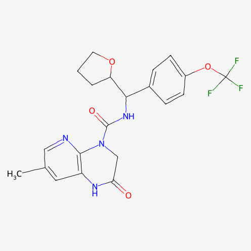 Cc1cnc2c(c1)NC(=O)CN2C(=O)NC(c1ccc(OC(F)(F)F)cc1)C1CCCO1